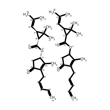 C=C/C=C/CC1=C(C)C(OC(=O)C2C(C=C(C)C)C2(C)C)CC1=O.C=C/C=C\CC1=C(C)[C@@H](OC(=O)[C@@H]2[C@@H](C=C(C)C)C2(C)C)CC1=O